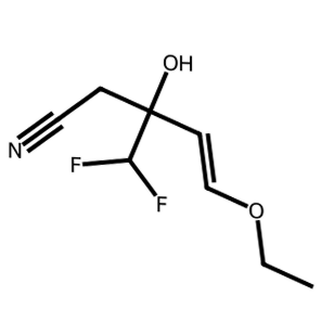 CCO/C=C/C(O)(CC#N)C(F)F